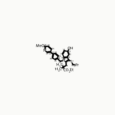 CCOC(=O)C(C)(C)Cc1c(SCC(C)C)c2cc(O)ccc2n1Cc1ccc(-c2ccc(OC)nc2)cc1